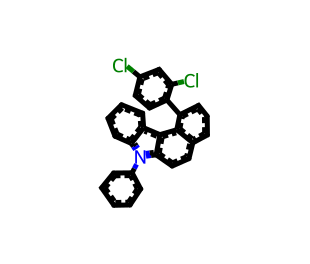 Clc1ccc(-c2cccc3ccc4c(c5ccccc5n4-c4ccccc4)c23)c(Cl)c1